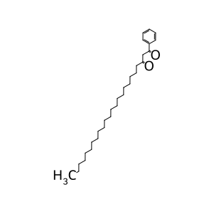 CCCCCCCCCCCCCCCCCCCCCC(=O)CC(=O)c1ccccc1